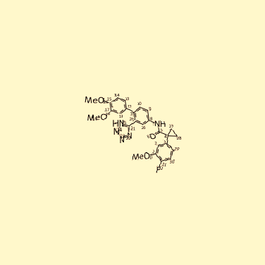 COc1cc(C2(C(=O)Nc3ccc(-c4ccc(OC)c(OC)c4)c(-c4nnn[nH]4)c3)CC2)ccc1F